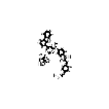 NCc1ccc(CC(=O)Nc2ccc(Nc3cc(-c4cccc5c4oc4ccccc45)ncn3)cc2)cc1.O=C(O)C(F)(F)F